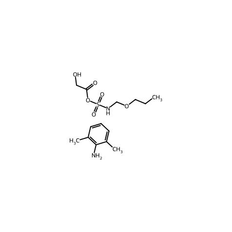 CCCOCNS(=O)(=O)OC(=O)CO.Cc1cccc(C)c1N